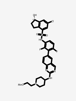 COCCN1CCC(Nc2ncc3cc(-c4c(F)ccc(NS(=O)(=O)c5cc(Cl)cc6c5CC[C@@H]6O)c4F)ccc3n2)CC1